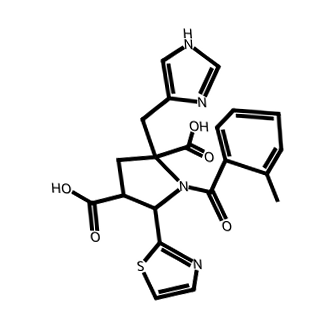 Cc1ccccc1C(=O)N1C(c2nccs2)C(C(=O)O)CC1(Cc1c[nH]cn1)C(=O)O